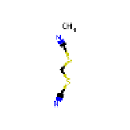 C.N#CSCSC#N